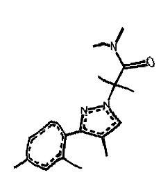 Cc1ccc(-c2nn(C(C)(C)C(=O)N(C)C)cc2C)c(C)c1